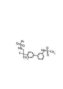 CC(C)S(=O)(=O)NCC(C)(F)c1ccc(-c2cccc(NS(C)(=O)=O)c2)cc1